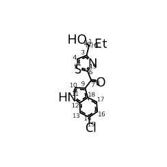 CC[C@@H](O)c1csc(C(=O)c2c[nH]c3cc(Cl)ccc23)n1